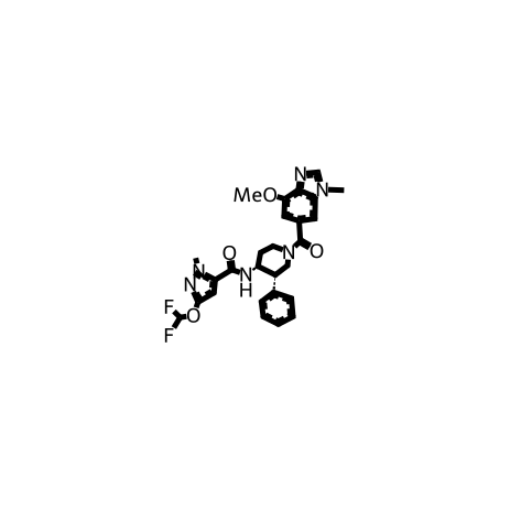 COc1cc(C(=O)N2CC[C@@H](NC(=O)c3cc(OC(F)F)nn3C)[C@@H](c3ccccc3)C2)cc2c1ncn2C